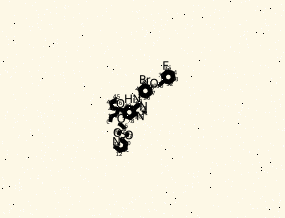 CCC(OCCS(=O)(=O)c1ccccn1)C1(c2ccc3ncnc(Nc4ccc(OCc5cccc(F)c5)c(Br)c4)c3c2)CC=CO1